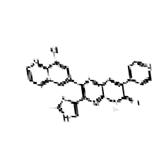 Cc1ncc(-c2nc3[nH]c(=O)c(-c4ccncc4)cc3nc2-c2cc(Cl)c3ncccc3c2)s1